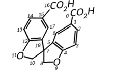 O=C(O)c1ccc2c(c1)C1(CO2)COc2ccc(C(=O)O)cc21